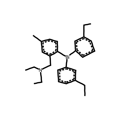 CCc1ccc[c]([Bi]([c]2cccc(CC)c2)[c]2ccc(C)cc2CN(CC)CC)c1